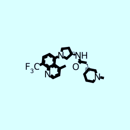 Cc1ccnc2c(C(F)(F)F)ccc(N3CC[C@@H](NC(=O)C[C@H]4CCCN(C)C4)C3)c12